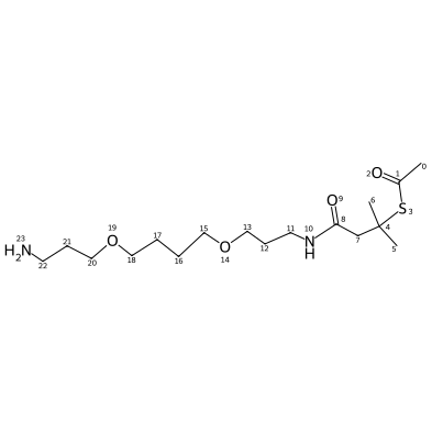 CC(=O)SC(C)(C)CC(=O)NCCCOCCCCOCCCN